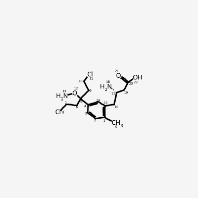 Cc1ccc(C(CCCl)(CCCl)ON)cc1C[C@H](N)CC(=O)O